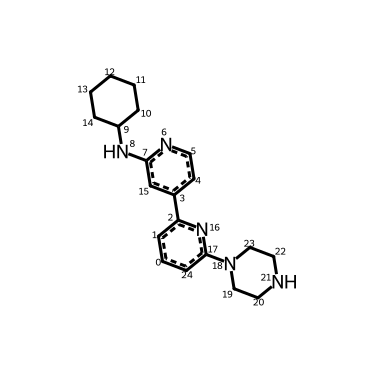 c1cc(-c2ccnc(NC3CCCCC3)c2)nc(N2CCNCC2)c1